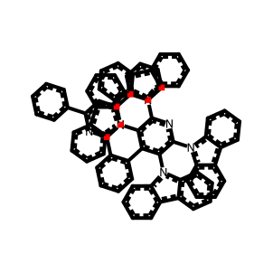 c1ccc(-c2cc(-c3ccccc3)nc(-c3ccccc3-c3c(-n4c5ccccc5c5ccccc54)c(-n4c5ccccc5c5ccccc54)nc(-n4c5ccccc5c5ccccc54)c3-n3c4ccccc4c4ccccc43)n2)cc1